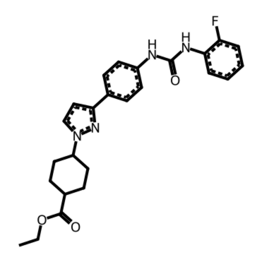 CCOC(=O)C1CCC(n2ccc(-c3ccc(NC(=O)Nc4ccccc4F)cc3)n2)CC1